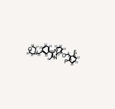 Cc1nc2c(OCc3c(F)cccc3F)cccn2c1-c1cccc(CN2CCOCC2)c1